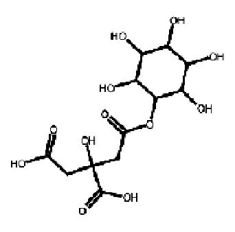 O=C(O)CC(O)(CC(=O)OC1C(O)C(O)C(O)C(O)C1O)C(=O)O